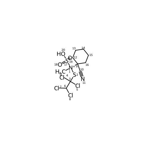 C[N+](SC(Cl)(Cl)C(Cl)Cl)(C1(C#N)CCCCC1)S(=O)(=O)O